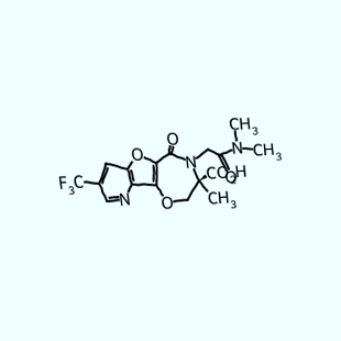 CN(C)C(=O)CN1C(=O)c2oc3cc(C(F)(F)F)cnc3c2OC[C@]1(C)C(=O)O